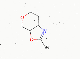 CC(C)C1=NC2CCOCC2O1